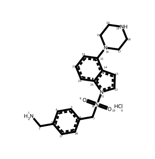 Cl.NCc1ccc(CS(=O)(=O)n2ccc3c(N4CCNCC4)cccc32)cc1